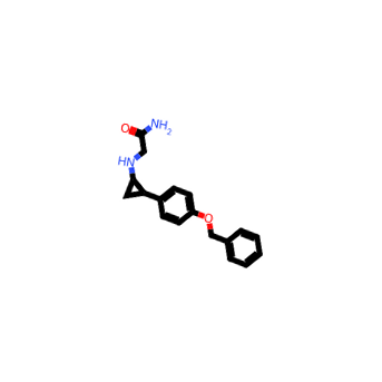 NC(=O)CNC1CC1c1ccc(OCc2ccccc2)cc1